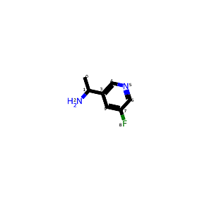 CC(N)c1cncc(F)c1